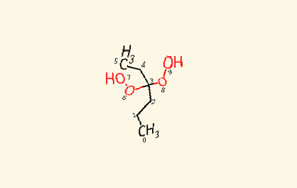 CCCC(CC)(OO)OO